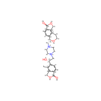 Cc1c([C@H](O)CN2CCN(C[C@H]3OCCc4c3ccc3c4COC3=O)CC2)ccc2c1COC2=O